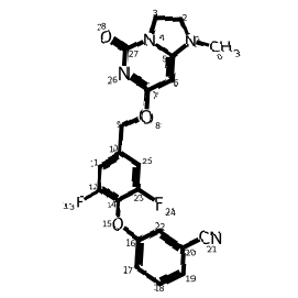 CN1CCn2c1cc(OCc1cc(F)c(Oc3cccc(C#N)c3)c(F)c1)nc2=O